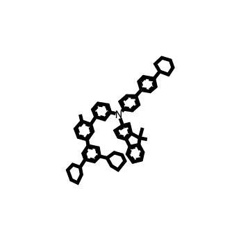 Cc1ccc(-c2cc(C3CCCCC3)cc(C3CCCCC3)c2)cc1-c1cccc(N(c2ccc(-c3ccc(C4CCCCC4)cc3)cc2)c2ccc3c(c2)C(C)(C)c2ccccc2-3)c1